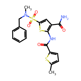 Cc1ccc(C(=O)Nc2sc(S(=O)(=O)N(C)Cc3ccccc3)cc2C(N)=O)s1